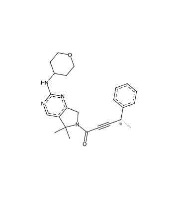 C[C@H](C#CC(=O)N1Cc2nc(NC3CCOCC3)ncc2C1(C)C)c1ccccc1